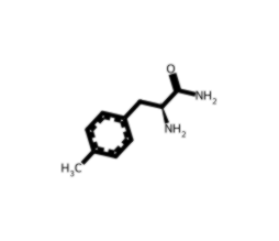 Cc1ccc(C[C@H](N)C(N)=O)cc1